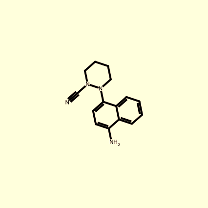 N#CN1CCCCN1c1ccc(N)c2ccccc12